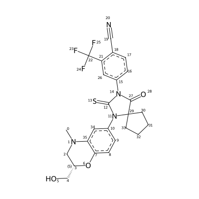 CN1C[C@@H](CO)Oc2ccc(N3C(=S)N(c4ccc(C#N)c(C(F)(F)F)c4)C(=O)C34CCCC4)cc21